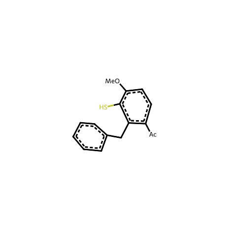 COc1ccc(C(C)=O)c(Cc2ccccc2)c1S